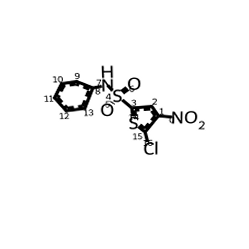 O=[N+]([O-])c1cc(S(=O)(=O)Nc2ccccc2)sc1Cl